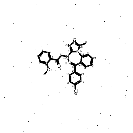 COc1ccccc1C(=O)CN1N=C(c2ccc(Cl)cc2)c2ccccc2-n2c(C)nnc21